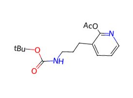 CC(=O)Oc1ncccc1CCCNC(=O)OC(C)(C)C